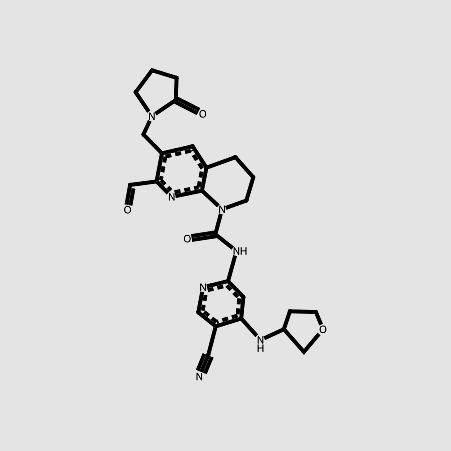 N#Cc1cnc(NC(=O)N2CCCc3cc(CN4CCCC4=O)c(C=O)nc32)cc1NC1CCOC1